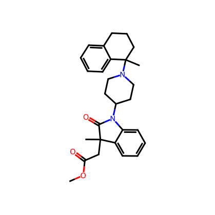 COC(=O)CC1(C)C(=O)N(C2CCN(C3(C)CCCc4ccccc43)CC2)c2ccccc21